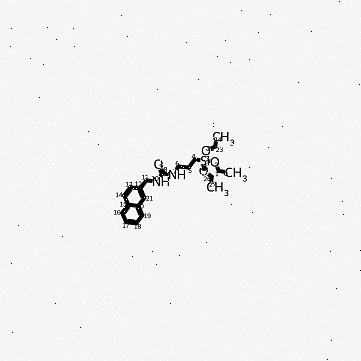 CCO[Si](CCCNC(=O)NCc1ccc2ccccc2c1)(OCC)OCC